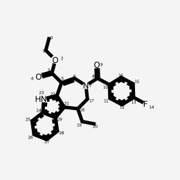 CCOC(=O)C1=CN(C(=O)c2ccc(F)cc2)CC(CC)c2c1[nH]c1ccccc21